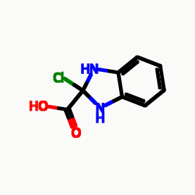 O=C(O)C1(Cl)Nc2ccccc2N1